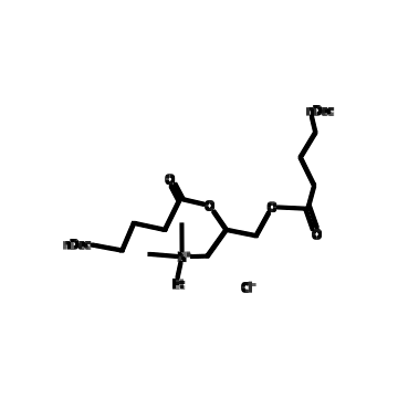 CCCCCCCCCCCCCC(=O)OCC(C[N+](C)(C)CC)OC(=O)CCCCCCCCCCCCC.[Cl-]